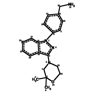 CC1(C)CN(c2nn(-c3ccc(CN)cc3)c3cnccc23)CCO1